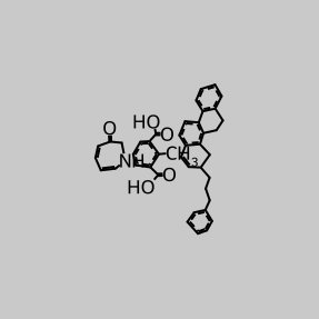 C1=CC(CCCc2ccccc2)Cc2c1ccc1c2CCc2ccccc2-1.Cc1c(C(=O)O)cccc1C(=O)O.O=C1C=CC=CNC1